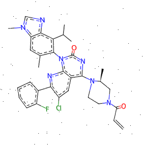 C=CC(=O)N1CCN(c2nc(=O)n(-c3c(C)cc4c(ncn4C)c3C(C)C)c3nc(-c4ccccc4F)c(Cl)cc23)[C@@H](C)C1